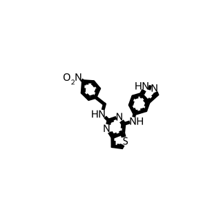 O=[N+]([O-])c1ccc(CNc2nc(Nc3ccc4[nH]ncc4c3)c3sccc3n2)cc1